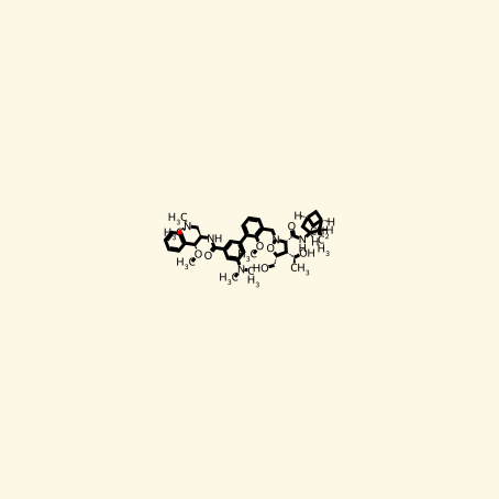 C=C1[C@H]2C[C@H](NC(=O)[C@@H]3[C@H]([C@H](C)O)[C@H](CO)ON3Cc3cccc(-c4cc(C(=O)N[C@H](CN(C)C)[C@H](OC)c5ccccc5)cc(N(C)C)c4)c3OC)[C@@H](C)[C@@H]1C2